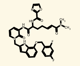 CN(C)C(=O)/C=C/CCC(NC(=O)c1ncco1)C(=O)Nc1cccn(Cc2cc3cccc(OCc4ccc(F)cc4F)c3[nH]2)c1=O